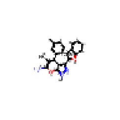 COc1ccc(C)cc1C1C(C#N)=C(N)Oc2c1c(-c1cc3ccccc3o1)nn2C